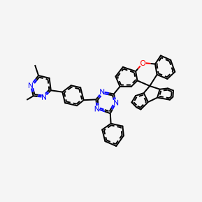 Cc1cc(-c2ccc(-c3nc(-c4ccccc4)nc(-c4ccc5c(c4)C4(c6ccccc6O5)c5ccccc5-c5ccccc54)n3)cc2)nc(C)n1